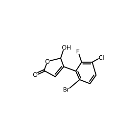 O=C1C=C(c2c(Br)ccc(Cl)c2F)C(O)O1